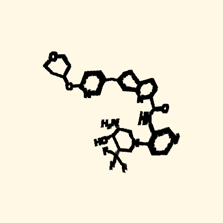 N[C@@H]1CN(c2ccncc2NC(=O)c2ccc3ccc(-c4ccc(OC5CCOCC5)nc4)cc3n2)C[C@H](C(F)(F)F)[C@H]1O